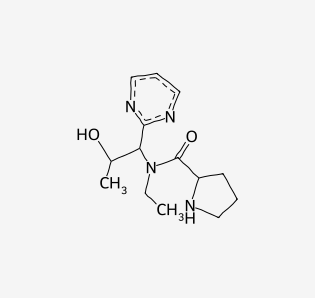 CCN(C(=O)C1CCCN1)C(c1ncccn1)C(C)O